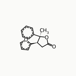 C[C@]1(c2ccccc2)OC(=O)C[C@H]1c1ccco1